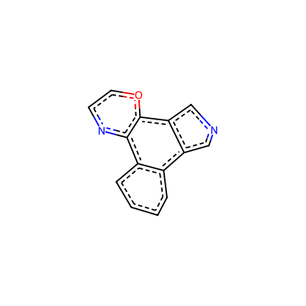 c1ccc2c(c1)c1cncc1c1occnc21